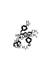 COc1ccc(S(=O)(=O)N(CC(C)C)C[C@@H](O)[C@H](Cc2ccc(N)cc2)NC(=O)O[C@H]2CO[C@H]3OCC[C@H]32)cc1